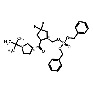 CC(C)(C)N1CC[C@@H](C(=O)C2CC(F)(F)C[C@H]2COP(=O)(OCc2ccccc2)OCc2ccccc2)C1